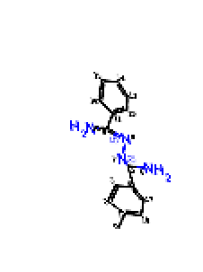 Cc1ccc(/C(N)=N/N=C(\N)c2ccccc2)cc1